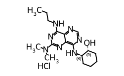 CCCNc1nc(N(C)C)nc2c(N[C@@H]3CCCC[C@H]3O)ncnc12.Cl